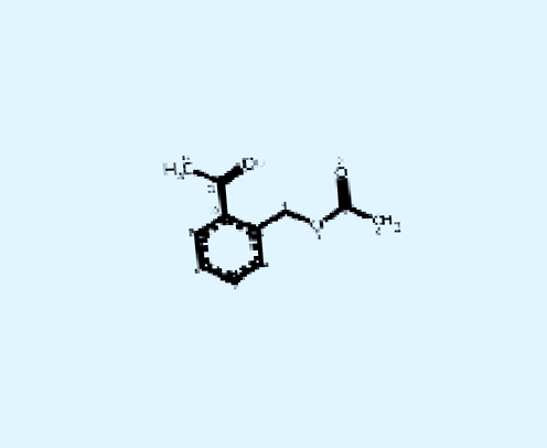 CC(=O)OCc1ccccc1C(C)=O